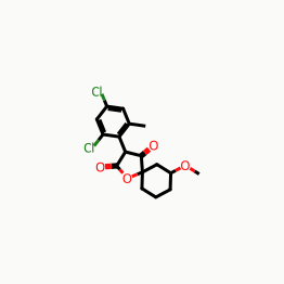 COC1CCCC2(C1)OC(=O)C(c1c(C)cc(Cl)cc1Cl)C2=O